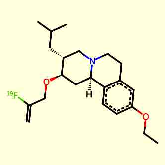 C=C([19F])CO[C@@H]1C[C@@H]2c3ccc(OCC)cc3CCN2C[C@H]1CC(C)C